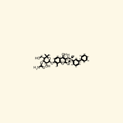 Cc1c(O[C@@H]2OC(C)(C)[C@H](CO)[C@@H](OC(N)=O)[C@H]2O)ccc2c(O)c(NS(=O)(=O)c3cccc(-c4ccccc4)c3)c(=O)oc12